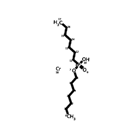 CCCCCCCOP(=O)(O)CCCCCCC.[Cr]